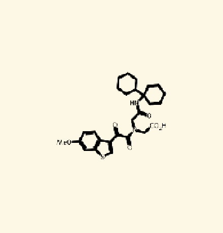 COc1ccc2c(C(=O)C(=O)N(CC(=O)O)CC(=O)NC3(C4CCCCC4)CCCCC3)csc2c1